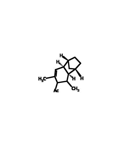 CC(=O)C1C(C)=C[C@H]2[C@@H]3CC[C@@H](C3)[C@H]2C1C